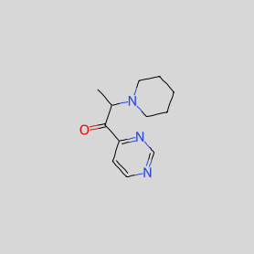 CC(C(=O)c1ccncn1)N1CCCCC1